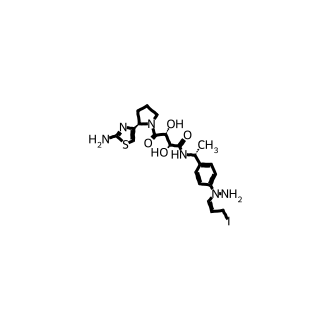 C[C@@H](NC(=O)[C@H](O)[C@@H](O)C(=O)N1CCC[C@@H]1c1csc(N)n1)c1ccc(N(N)/C=C\CI)cc1